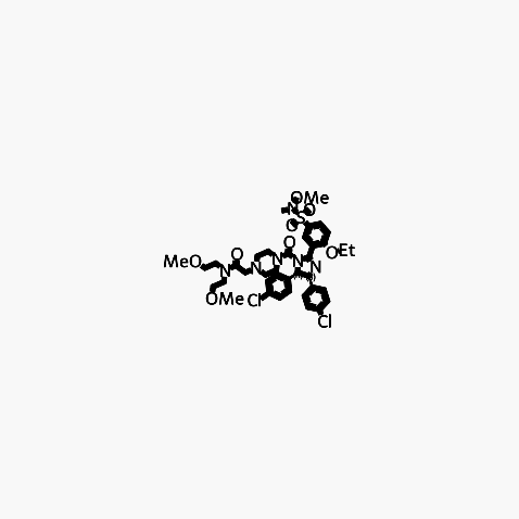 CCOc1ccc(S(=O)(=O)N(C)OC)cc1C1=N[C@@H](c2ccc(Cl)cc2)[C@@H](c2ccc(Cl)cc2)N1C(=O)N1CCN(CC(=O)N(CCOC)CCOC)CC1